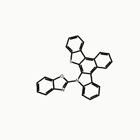 c1ccc2oc(-n3c4ccccc4c4c5ccccc5c5c6ccccc6sc5c43)nc2c1